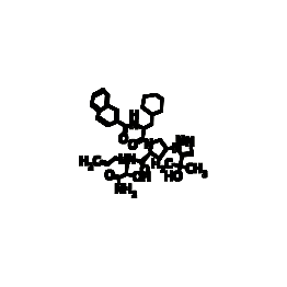 C=CCC(NC(=O)[C@@H]1C[C@H](n2nncc2C(C)(C)O)CN1C(=O)C(CC1CCCCC1)NC(=O)c1ccc2ccccc2c1)C(O)C(N)=O